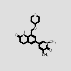 Cc1cc(-c2cc3c(c(COC4CCOCC4)c2)NC(=O)CC3)cn(C)c1=O